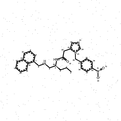 CCC[C@@H](CNCc1cccc2ccccc12)NC(=O)Cc1cncn1Cc1ccc([N+](=O)[O-])cc1